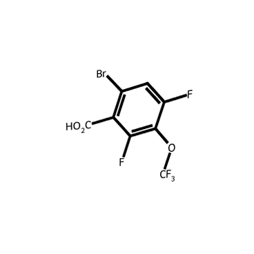 O=C(O)c1c(Br)cc(F)c(OC(F)(F)F)c1F